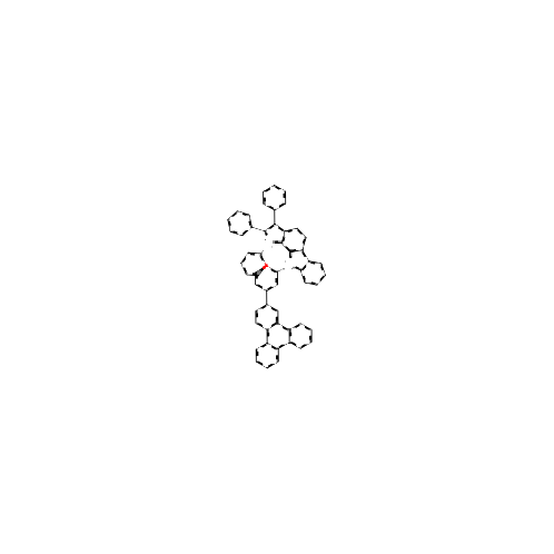 c1ccc(-c2c(-c3ccccc3)n(-c3ccccc3)c3c2ccc2c4ccccc4n(-c4cccc(-c5ccc6c7ccccc7c7ccccc7c6c5)c4)c23)cc1